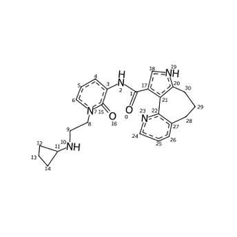 O=C(Nc1cccn(CCNC2CCC2)c1=O)c1c[nH]c2c1-c1ncccc1CCC2